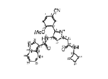 COc1ccc(C#N)cc1-c1nn(CC(=O)NC2CCC2)cc1NC(=O)c1cnn2cccnc12